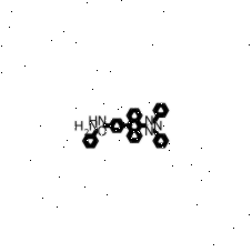 N=C(OC(N)c1ccccc1)c1ccc(-c2c3ccccc3c(-c3nc(-c4ccccc4)nc(-c4ccccc4)n3)c3ccccc23)cc1